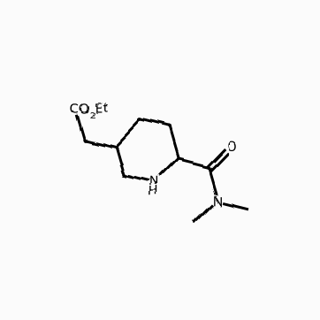 CCOC(=O)CC1CCC(C(=O)N(C)C)NC1